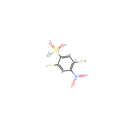 O=[N+]([O-])c1cc(F)c(S(=O)(=O)Cl)cc1F